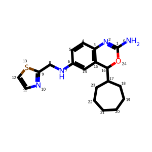 NC1=Nc2ccc(NCc3nccs3)cc2C(C2CCCCCC2)O1